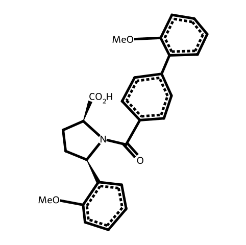 COc1ccccc1-c1ccc(C(=O)N2[C@@H](c3ccccc3OC)CC[C@H]2C(=O)O)cc1